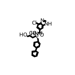 O=C(N[C@@H](Cc1ccc(-c2ccccc2)cc1)CC(CO)C(=O)O)c1cc(Cl)c2nc[nH]c2c1